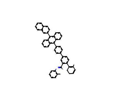 CC1=C(c2ccc(-c3ccc(-c4c5ccccc5c(-c5ccc6ccccc6c5)c5ccccc45)cc3)cc2/C(C)=N/c2ccccc2C)CCC=C1